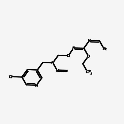 C=NN(CON=C(/N=C\CC)OCC(F)(F)F)Cc1cncc(Cl)c1